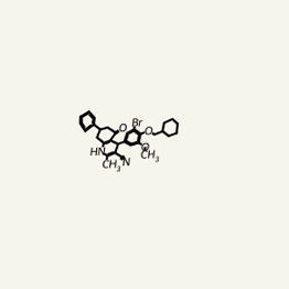 COc1cc(C2C(C#N)=C(C)NC3=C2C(=O)CC(c2ccccc2)C3)cc(Br)c1OCC1CCCCC1